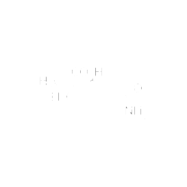 CC(C)(C(=O)O)c1ccc(C(N)=O)cc1